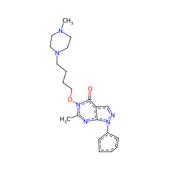 Cc1nc2c(cnn2-c2ccccc2)c(=O)n1OCCCCN1CCN(C)CC1